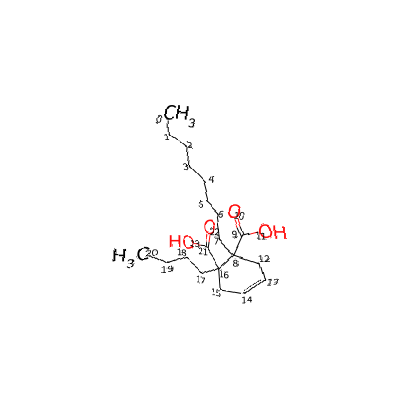 CCCCCCCCC1(C(=O)O)CC=CCC1(CCCC)C(=O)O